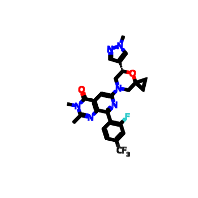 Cc1nc2c(-c3ccc(C(F)(F)F)cc3F)nc(N3C[C@H](c4cnn(C)c4)OC4(CC4)C3)cc2c(=O)n1C